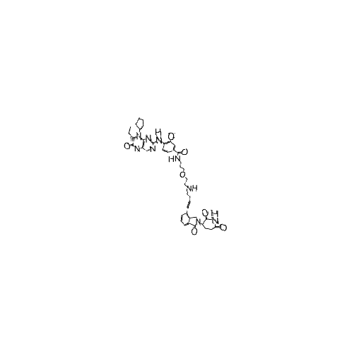 CC[C@@H]1C(=O)N(C)c2cnc(Nc3ccc(C(=O)NCCCOCCNCCC#Cc4cccc5c4CN(C4CCC(=O)NC4=O)C5=O)cc3OC)nc2N1C1CCCC1